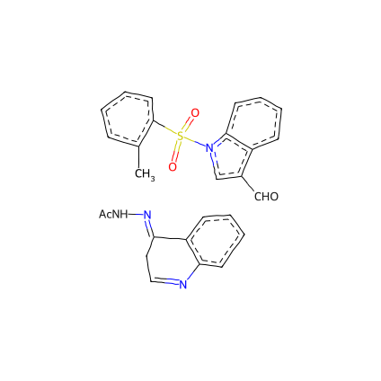 CC(=O)NN=C1CC=Nc2ccccc21.Cc1ccccc1S(=O)(=O)n1cc(C=O)c2ccccc21